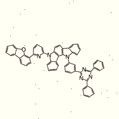 c1ccc(-c2nc(-c3ccccc3)nc(-c3cccc(-n4c5ccccc5c5ccc6c(c7ccccc7n6-c6cccc(-c7cccc8c7oc7ccccc78)n6)c54)c3)n2)cc1